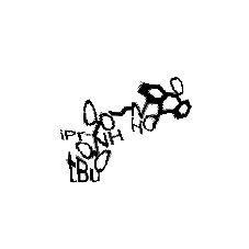 CC(C)[C@@H](NC(=O)OC(C)(C)C)C(=O)OCCCNc1cccc2c1C(=O)c1ccccc1C2=O